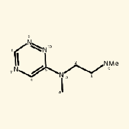 CNCCN(C)c1cncnn1